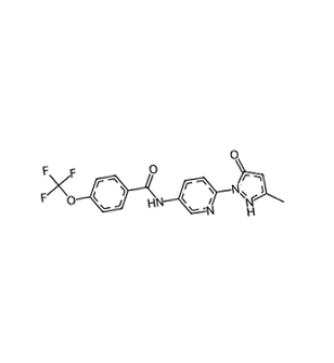 Cc1cc(=O)n(-c2ccc(NC(=O)c3ccc(OC(F)(F)F)cc3)cn2)[nH]1